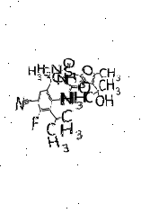 Cc1oc([S@@](N)(=O)=NC(=O)Nc2c(C(C)C)cc(C#N)c(F)c2C(C)C)cc1C(C)(C)O